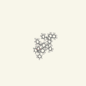 c1ccc(N(c2ccccc2)c2ccc3oc4c(N(c5ccccc5)c5ccc6c7c8ccccc8ccc7n(-c7ccccc7)c6c5)ccc(N(c5ccccc5)c5ccccc5)c4c3c2)cc1